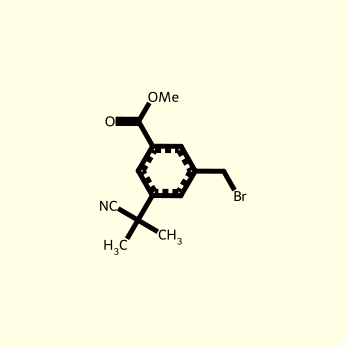 COC(=O)c1cc(CBr)cc(C(C)(C)C#N)c1